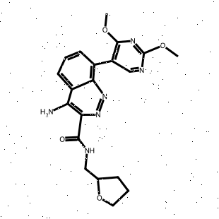 COc1ncc(-c2cccc3c(N)c(C(=O)NCC4CCCO4)nnc23)c(OC)n1